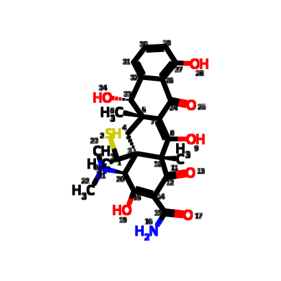 C[C@H](S)[C@@]12C[C@@]3(C)C(=C(O)[C@]1(C)C(=O)C(C(N)=O)=C(O)[C@H]2N(C)C)C(=O)c1c(O)cccc1[C@H]3O